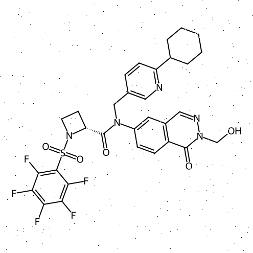 O=C([C@H]1CCN1S(=O)(=O)c1c(F)c(F)c(F)c(F)c1F)N(Cc1ccc(C2CCCCC2)nc1)c1ccc2c(=O)n(CO)ncc2c1